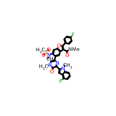 CNC(=O)c1c(-c2ccc(F)cc2)oc2cc(N(C)S(C)(=O)=O)c(-c3cn(C)c(=O)c(-c4cc5c(F)cccc5n4C)n3)cc12